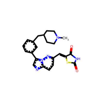 CN1CCC(Cc2cccc(-c3cnc4ccc(/C=C5\SC(=O)NC5=O)nn34)c2)CC1